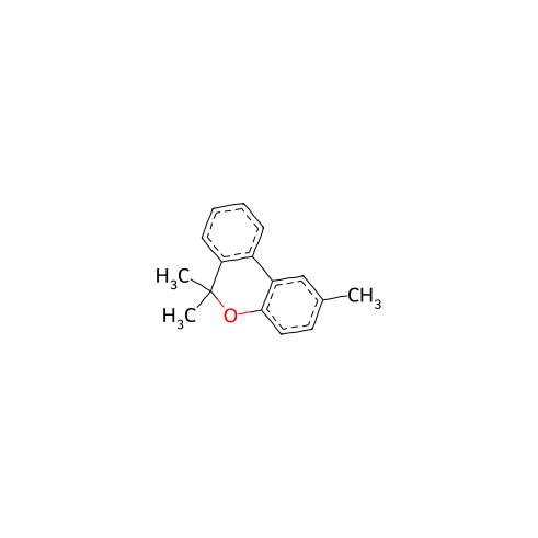 Cc1ccc2c(c1)-c1ccccc1C(C)(C)O2